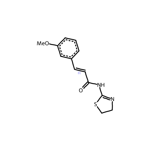 COc1cccc(/C=C/C(=O)NC2=NCCS2)c1